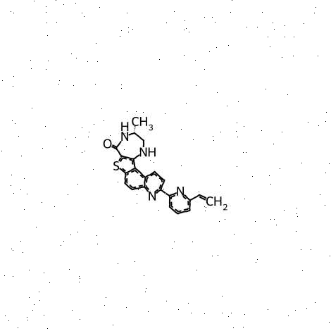 C=Cc1cccc(-c2ccc3c(ccc4sc5c(c43)NC[C@@H](C)NC5=O)n2)n1